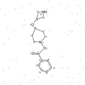 O=C(ON1CCC(OC2CNC2)CC1)c1ccccc1